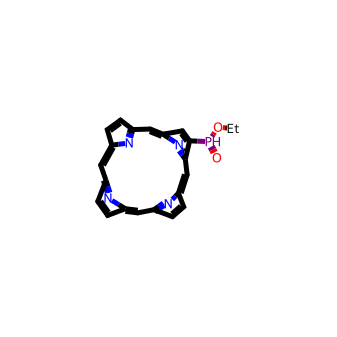 CCO[PH](=O)C1=CC2=CC3=NC(=CC4=NC(=CC5=NC(=CC1=N2)C=C5)C=C4)C=C3